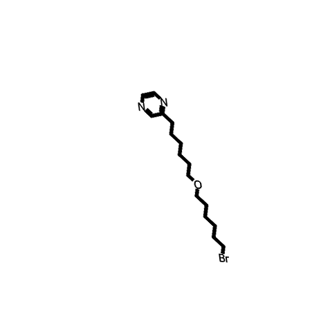 BrCCCCCCOCCCCCCc1cnccn1